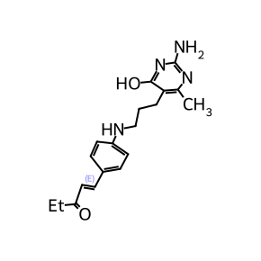 CCC(=O)/C=C/c1ccc(NCCCc2c(C)nc(N)nc2O)cc1